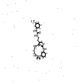 O=C(NCCc1cnc2nc1NCCCNS(=O)(=O)c1cccc(c1)N2)Nc1cccc(C(F)(F)F)c1